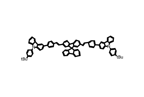 CC(C)(C)c1ccc(-n2c3ccccc3c3cc(-c4ccc(/C=C/c5ccc6c(c5)C5(c7ccccc7-c7ccccc75)c5cc(/C=C/c7ccc(-c8ccc9c(c8)c8ccccc8n9-c8ccc(C(C)(C)C)cc8)cc7)ccc5-6)cc4)ccc32)cc1